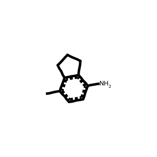 Cc1ccc(N)c2c1CCC2